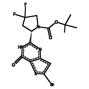 CC(C)(C)OC(=O)N1CC(F)(F)C[C@H]1c1nc2cc(Br)sc2c(=O)[nH]1